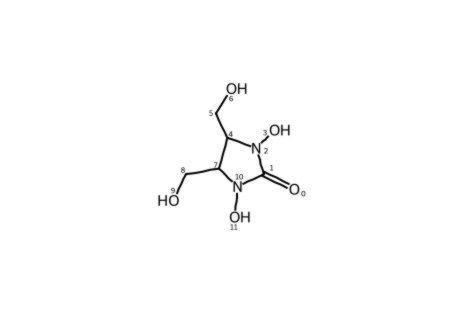 O=C1N(O)C(CO)C(CO)N1O